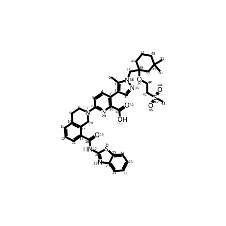 Cc1c(-c2ccc(N3CCc4cccc(C(=O)Nc5nc6ccccc6s5)c4C3)nc2C(=O)O)cnn1CC1(OCCS(C)(=O)=O)CCCC(C)(C)C1